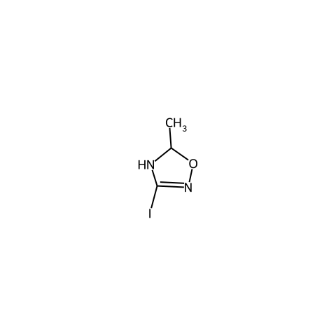 CC1NC(I)=NO1